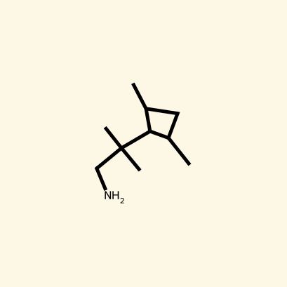 CC1CC(C)C1C(C)(C)CN